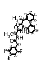 CC1C(=O)N(NC(=O)[C@H](C)NC(=O)Cc2cc(F)c(F)cc2F)c2ccccc2-c2ccccc21